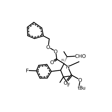 CC(C=O)[C@@](C(=O)OOCc1ccccc1)(C(c1ccc(F)cc1)C(C)(C)F)N(C)C(=O)OC(C)(C)C